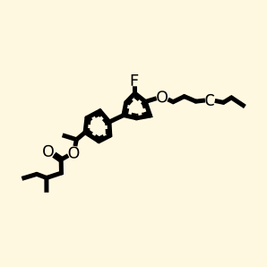 CCCCCCCOc1ccc(-c2ccc(C(C)OC(=O)CC(C)CC)cc2)cc1F